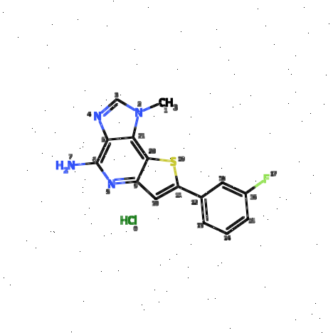 Cl.Cn1cnc2c(N)nc3cc(-c4cccc(F)c4)sc3c21